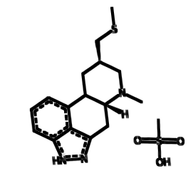 CS(=O)(=O)O.CSC[C@@H]1CC2c3cccc4[nH]nc(c34)C[C@H]2N(C)C1